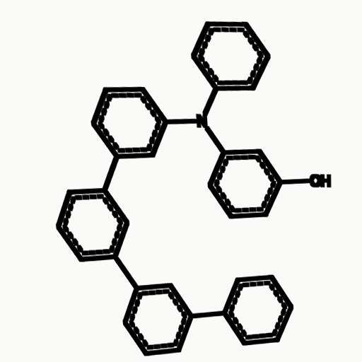 Oc1cccc(N(c2ccccc2)c2cccc(-c3cccc(-c4cccc(-c5ccccc5)c4)c3)c2)c1